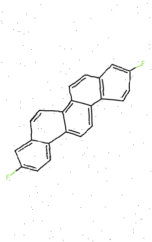 Fc1ccc2c(ccc3c2ccc2c4ccc(F)cc4ccc23)c1